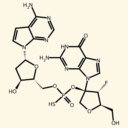 Nc1nc2c(ncn2[C@@]2(OP(=O)(S)OC[C@H]3O[C@@H](n4ccc5c(N)ncnc54)C[C@@H]3O)CO[C@H](CO)[C@H]2F)c(=O)[nH]1